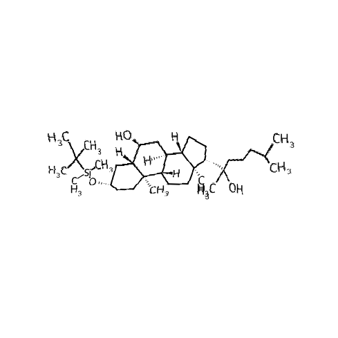 CC(C)CCCC(C)(O)[C@H]1CC[C@H]2[C@@H]3C[C@H](O)[C@H]4C[C@@H](O[Si](C)(C)C(C)(C)C)CC[C@]4(C)[C@H]3CC[C@]12C